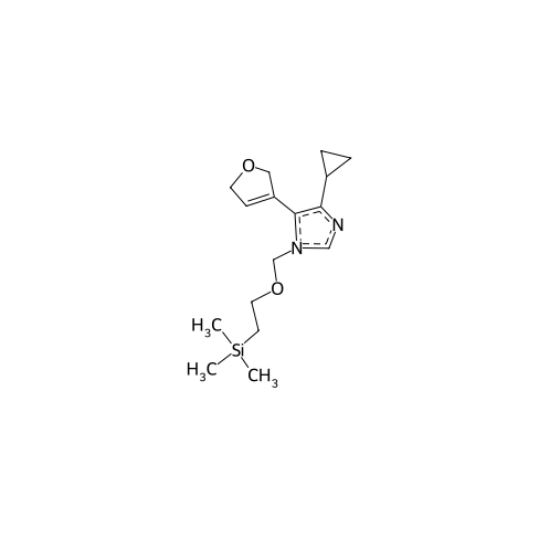 C[Si](C)(C)CCOCn1cnc(C2CC2)c1C1=CCOC1